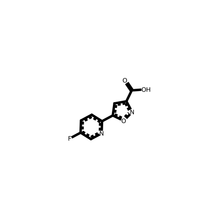 O=C(O)c1cc(-c2ccc(F)cn2)on1